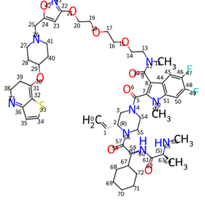 C=C[C@@H]1CN(C(=O)c2c(C(=O)N(C)CCOCCOCCOc3cc(CN4CCC(OC5=c6sccc6=NCC5)CC4)on3)c3cc(F)c(F)cc3n2C)CCN1C(=O)[C@@H](NC(=O)[C@H](C)NC)C1CCCCC1